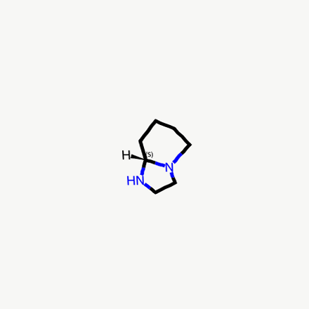 C1CCN2CCN[C@@H]2C1